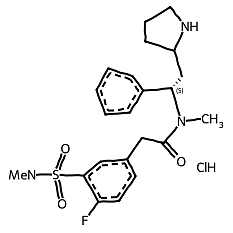 CNS(=O)(=O)c1cc(CC(=O)N(C)[C@@H](CC2CCCN2)c2ccccc2)ccc1F.Cl